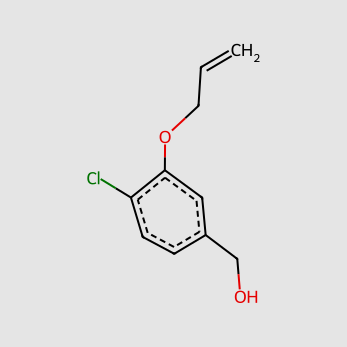 C=CCOc1cc(CO)ccc1Cl